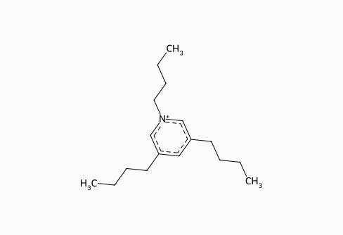 CCCCc1cc(CCCC)c[n+](CCCC)c1